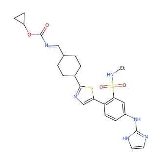 CCNS(=O)(=O)c1cc(Nc2ncc[nH]2)ccc1-c1cnc(C2CCC(/C=N/C(=O)OC3CC3)CC2)s1